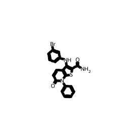 NC(=O)c1sc2c(ccc(=O)n2-c2ccccc2)c1Nc1cccc(Br)c1